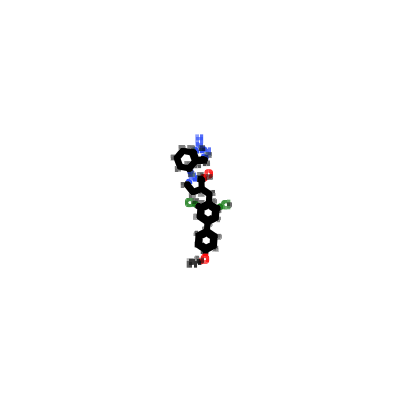 CC(C)Oc1ccc(-c2cc(Cl)c(CC3CCN(C4CCCc5[nH]ncc54)C3=O)c(Cl)c2)cc1